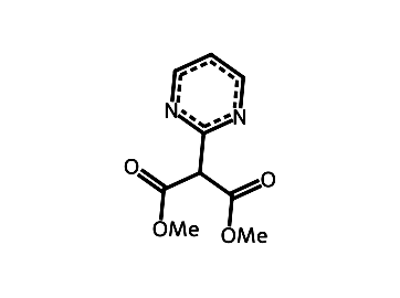 COC(=O)C(C(=O)OC)c1ncccn1